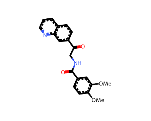 COc1ccc(C(=O)NCC(=O)c2ccc3cccnc3c2)cc1OC